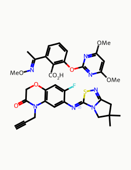 C#CCN1C(=O)COc2cc(F)c(/N=c3\snc4n3CC(C)(C)C4)cc21.CON=C(C)c1cccc(Oc2nc(OC)cc(OC)n2)c1C(=O)O